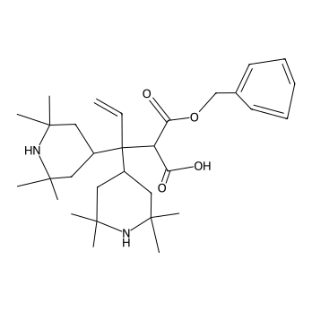 C=CC(C1CC(C)(C)NC(C)(C)C1)(C1CC(C)(C)NC(C)(C)C1)C(C(=O)O)C(=O)OCc1ccccc1